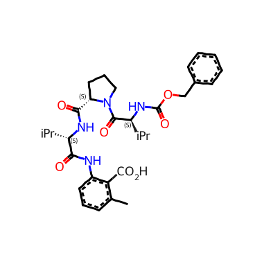 Cc1cccc(NC(=O)[C@@H](NC(=O)[C@@H]2CCCN2C(=O)[C@@H](NC(=O)OCc2ccccc2)C(C)C)C(C)C)c1C(=O)O